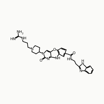 N=C(N)NCCCN1CCC(n2cc3c(nc2=O)Nc2cc(C(=O)NCCc4nc5ccccc5[nH]4)ccc2O3)CC1